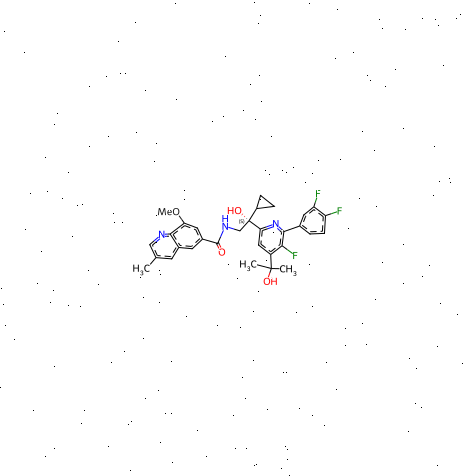 COc1cc(C(=O)NC[C@](O)(c2cc(C(C)(C)O)c(F)c(-c3ccc(F)c(F)c3)n2)C2CC2)cc2cc(C)cnc12